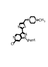 CCC[C@H](C)n1nc(-c2ncc(CN3CCN(C)CC3)s2)c2cnc(Cl)cc21